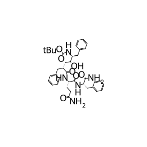 CC(C)(C)OC(=O)N[C@@H](Cc1ccccc1)[C@@H](O)C[C@@H](Cc1ccccc1)C(=O)N[C@@H](CCC(N)=O)C(=O)N[C@@H](Cc1ccccc1)C(N)=O